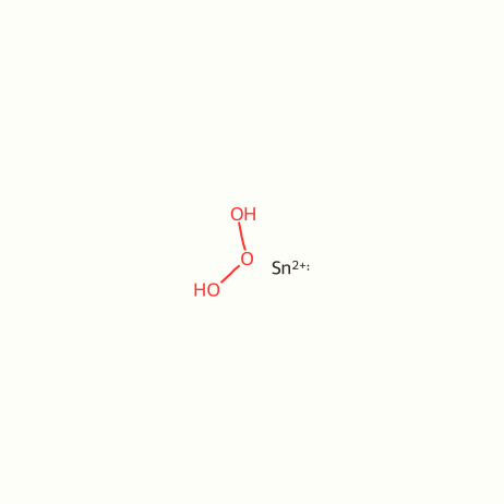 OOO.[Sn+2]